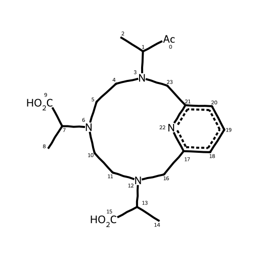 CC(=O)C(C)N1CCN(C(C)C(=O)O)CCN(C(C)C(=O)O)Cc2cccc(n2)C1